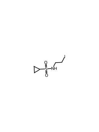 O=S(=O)(NCCI)C1CC1